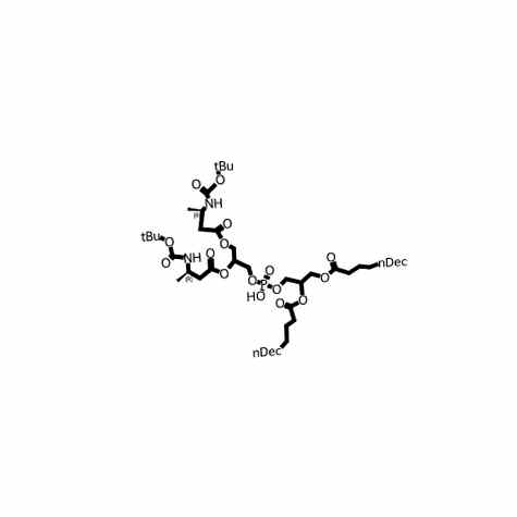 CCCCCCCCCCCCCC(=O)OCC(COP(=O)(O)OCC(COC(=O)C[C@@H](C)NC(=O)OC(C)(C)C)OC(=O)C[C@@H](C)NC(=O)OC(C)(C)C)OC(=O)CCCCCCCCCCCCC